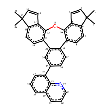 CC1(C)C=Cc2c1ccc1c2Oc2c(ccc3c2C=CC3(C)C)-c2cc(-c3cccc4cccnc34)ccc2-1